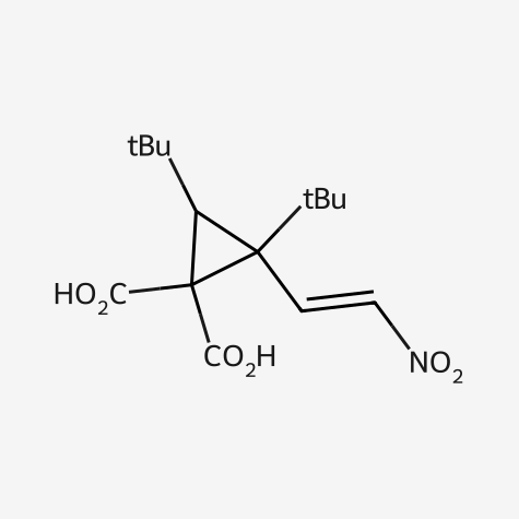 CC(C)(C)C1C(C(=O)O)(C(=O)O)C1(/C=C/[N+](=O)[O-])C(C)(C)C